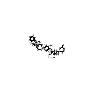 CC1CCCN(c2nc(C(F)(F)F)c(C(=O)Nc3ccc(N4CCCN([S+]([O-])Nc5ccccc5F)CC4)nc3)o2)C1